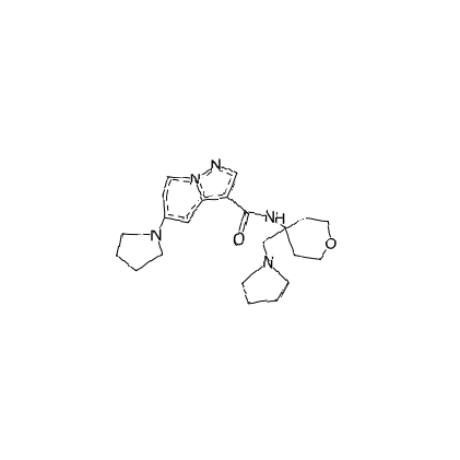 O=C(NC1(CN2CCCC2)CCOCC1)c1cnn2ccc(N3CCCC3)cc12